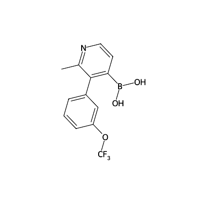 Cc1nccc(B(O)O)c1-c1cccc(OC(F)(F)F)c1